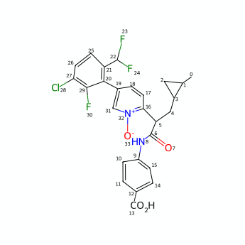 CC1CC1CC(C(=O)Nc1ccc(C(=O)O)cc1)c1ccc(-c2c(C(F)F)ccc(Cl)c2F)c[n+]1[O-]